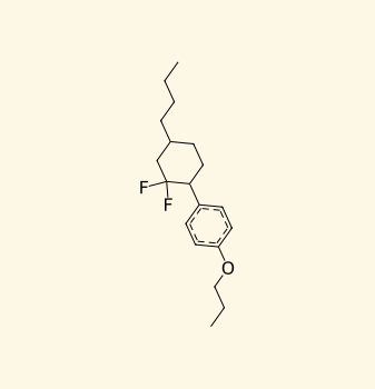 CCCCC1CCC(c2ccc(OCCC)cc2)C(F)(F)C1